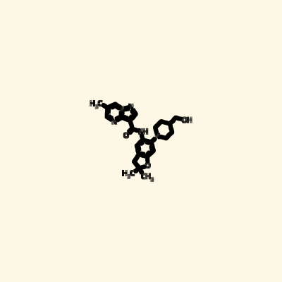 Cc1cnc2c(C(=O)Nc3cc4c(cc3N3CCC(CO)CC3)OC(C)(C)C4)cnn2c1